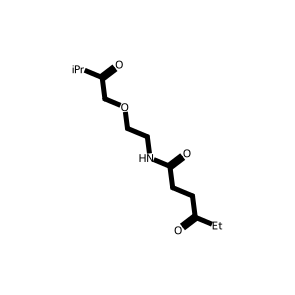 CCC(=O)CCC(=O)NCCOCC(=O)C(C)C